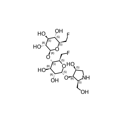 OC[C@@H]1NC[C@H](O)[C@@H]1O[C@H]1O[C@H](CF)[C@@H](O[C@@H]2O[C@H](CF)[C@@H](O)[C@H](O)[C@H]2O)[C@H](O)[C@H]1O